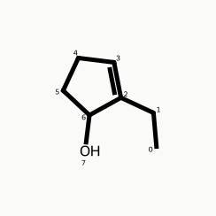 CCC1=CCCC1O